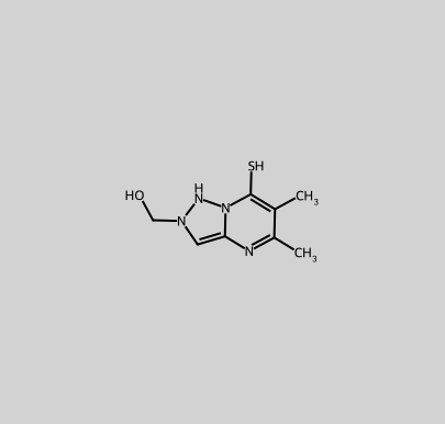 CC1=NC2=CN(CO)NN2C(S)=C1C